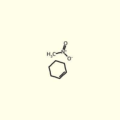 C1=CCCCC1.C[N+](=O)[O-]